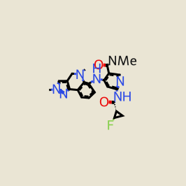 CNC(=O)c1cnc(NC(=O)[C@@H]2C[C@H]2F)cc1Nc1cccc2c1N(C)Cc1cn(C)nc1-2